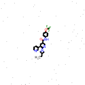 CCC1CN(c2ncc(C(=O)Nc3ccc(OC(F)(F)F)cc3)cc2-c2cccnc2)C1